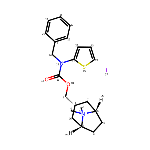 C[N+]1(C)[C@@H]2CC[C@H]1C[C@@H](COC(=O)N(Cc1ccccc1)c1cccs1)C2.[I-]